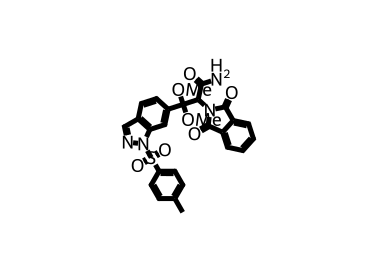 COC(OC)(c1ccc2cnn(S(=O)(=O)c3ccc(C)cc3)c2c1)C(C(N)=O)N1C(=O)c2ccccc2C1=O